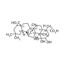 CC1(C)CC[C@]2(C(=O)O)CC[C@]3(C)C(=CC[C@@H]4[C@]5(C)[C@@H](CC[C@]43C)[C@](C)(C(=O)O)CC(O)C5(O)O)[C@@H]2C1